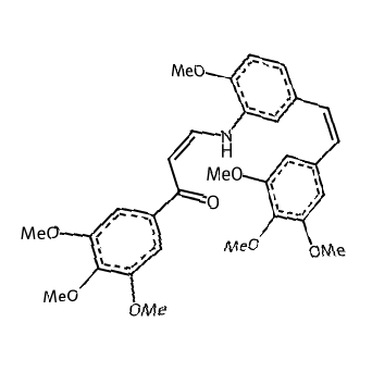 COc1ccc(/C=C\c2cc(OC)c(OC)c(OC)c2)cc1N/C=C\C(=O)c1cc(OC)c(OC)c(OC)c1